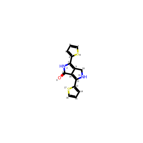 O=C1NC(c2cccs2)=C2CNC(c3cccs3)=C12